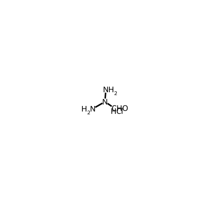 Cl.NN(N)C=O